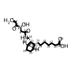 C=CC(=O)N(O)CC(=O)NC[C@@H]1[C@H](CCCCCCC(=O)O)[C@@H]2CC[C@H]1O2